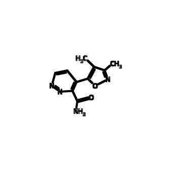 Cc1noc(-c2ccnnc2C(N)=O)c1C